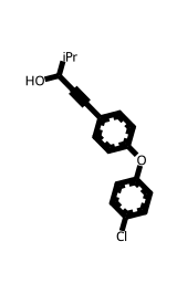 CC(C)C(O)C#Cc1ccc(Oc2ccc(Cl)cc2)cc1